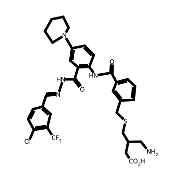 NCC(CSCc1cccc(C(=O)Nc2ccc(N3CCCCC3)cc2C(=O)N/N=C/c2ccc(Cl)c(C(F)(F)F)c2)c1)CC(=O)O